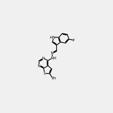 CC(C)c1cc2c(NN=Cc3c[nH]c4ccc(F)cc34)ncnc2s1